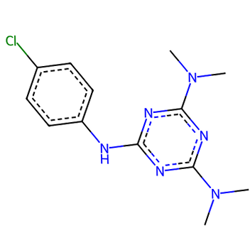 CN(C)c1nc(Nc2ccc(Cl)cc2)nc(N(C)C)n1